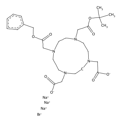 CC(C)(C)OC(=O)CN1CCN(CC(=O)[O-])CCN(CC(=O)[O-])CCN(CC(=O)OCc2ccccc2)CC1.[Br-].[Na+].[Na+].[Na+]